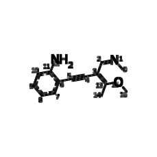 C/N=C\C(C#Cc1ccccc1N)=C(\C)OC